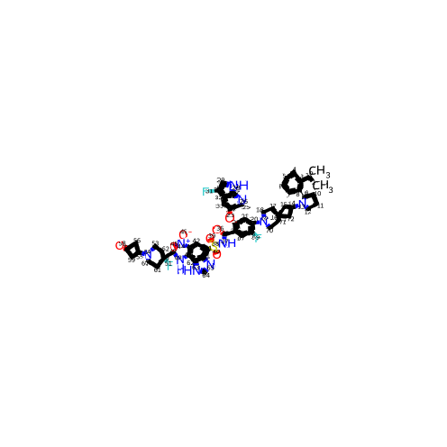 CC(C)c1ccccc1[C@@H]1CCCN1C1CC2(CCN(c3cc(Oc4cnc5[nH]cc(F)c5c4)c(C(=O)NS(=O)(=O)c4cc([N+](=O)[O-])c(NCC5(F)CCN(C6CC(=O)C6)CC5)c5[nH]cnc45)cc3F)CC2)C1